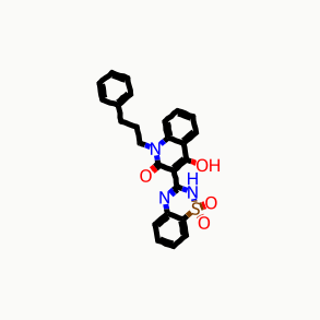 O=c1c(C2=Nc3ccccc3S(=O)(=O)N2)c(O)c2ccccc2n1CCCc1ccccc1